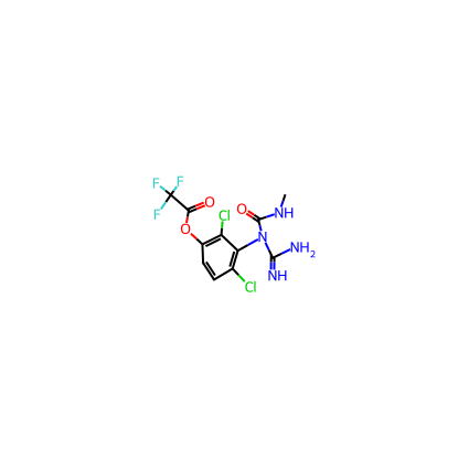 CNC(=O)N(C(=N)N)c1c(Cl)ccc(OC(=O)C(F)(F)F)c1Cl